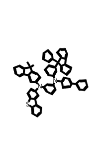 CC1(C)c2ccccc2-c2cc(N(c3cccc(N(c4ccc(-c5ccccc5)cc4)c4cccc(C5(c6ccccc6)c6ccccc6-c6ccccc65)c4)c3)c3ccc4sc5ccccc5c4c3)ccc21